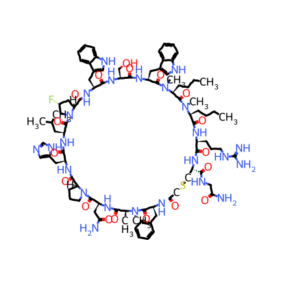 CCCC[C@H]1C(=O)N(C)[C@@H](CCCC)C(=O)N[C@@H](CCCNC(=N)N)C(=O)N[C@H](C(=O)NCC(N)=O)CSCC(=O)N[C@@H](Cc2ccccc2)C(=O)N(C)[C@@H](C)C(=O)N[C@@H](CC(N)=O)C(=O)N2CCC[C@H]2C(=O)N[C@@H](Cc2cnc[nH]2)C(=O)N[C@@H](CC(C)C)C(=O)N2C[C@H](F)C[C@H]2C(=O)N[C@@H](Cc2c[nH]c3ccccc23)C(=O)N[C@@H](CO)C(=O)N[C@@H](Cc2c[nH]c3ccccc23)C(=O)N1C